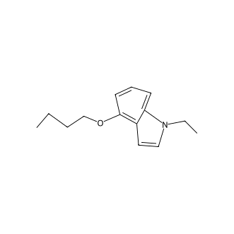 CCCCOc1cccc2c1ccn2CC